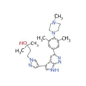 Cc1cc(-c2cc3c(-c4cnn(CCC(C)(C)O)c4)c[nH]c3nn2)cc(C)c1N1CCN(C)CC1